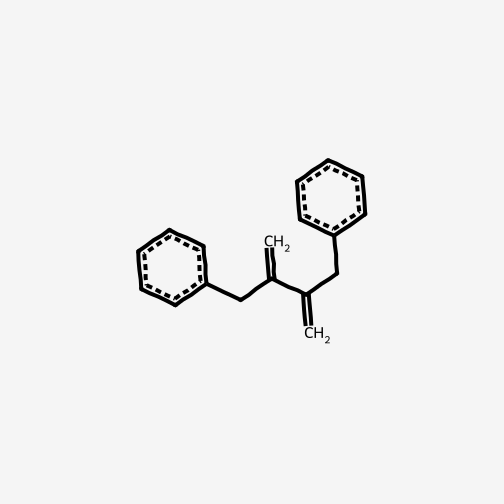 C=C(Cc1ccccc1)C(=C)Cc1ccccc1